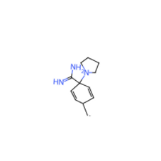 [CH2]C1C=CC(C(=N)N)(N2CCCC2)C=C1